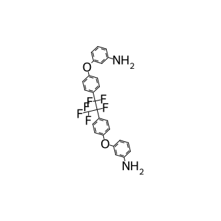 Nc1cccc(Oc2ccc(C(F)(F)C(F)(c3ccc(Oc4cccc(N)c4)cc3)C(F)(F)F)cc2)c1